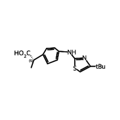 C[C@H](C(=O)O)c1ccc(Nc2nc(C(C)(C)C)cs2)cc1